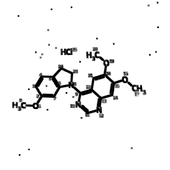 COc1ccc2c(c1)N(c1ncnc3cc(OC)c(OC)cc13)CC2.Cl